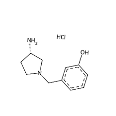 Cl.N[C@H]1CCN(Cc2cccc(O)c2)C1